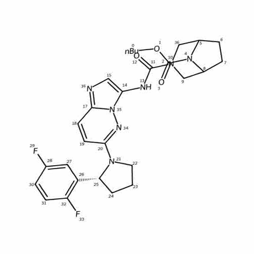 CCCCOC(=O)N1C2CCC1CN(C(=O)Nc1cnc3ccc(N4CCC[C@@H]4c4cc(F)ccc4F)nn13)C2